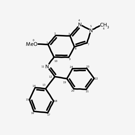 COc1cc2nn(C)cc2cc1N=C(c1ccccc1)c1ccccc1